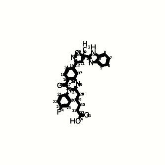 C[C@@]1(c2nc3ccccc3[nH]2)CC(c2ccc3c(=O)n(-c4ccc(F)cc4)c(CCCCC(=O)O)nc3c2)=NO1